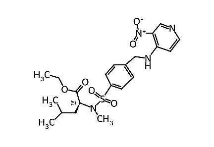 CCOC(=O)[C@H](CC(C)C)N(C)S(=O)(=O)c1ccc(CNc2ccncc2[N+](=O)[O-])cc1